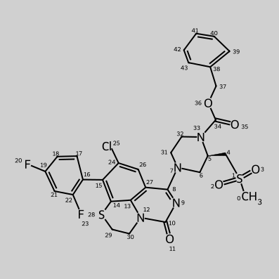 CS(=O)(=O)C[C@H]1CN(c2nc(=O)n3c4c(c(-c5ccc(F)cc5F)c(Cl)cc24)SCC3)CCN1C(=O)OCc1ccccc1